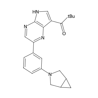 CC(C)(C)C(=O)c1c[nH]c2ncc(-c3cccc(N4CC5CC5C4)c3)nc12